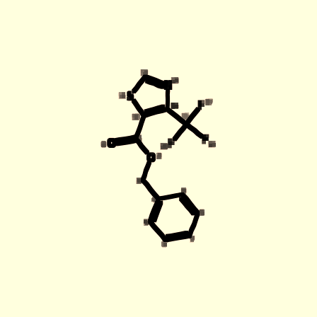 O=C(OCc1ccccc1)c1scnc1C(F)(F)F